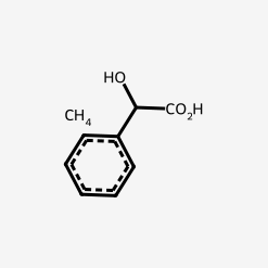 C.O=C(O)C(O)c1ccccc1